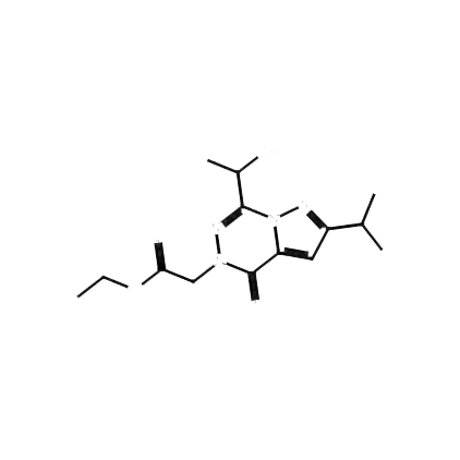 CCOC(=O)Cn1nc(C(C)O)n2nc(C(C)C)cc2c1=O